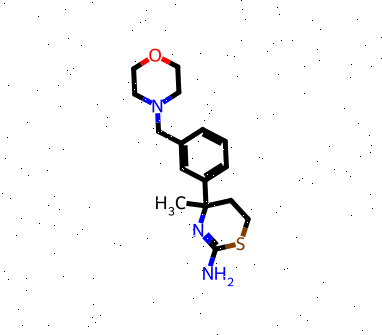 CC1(c2cccc(CN3CCOCC3)c2)CCSC(N)=N1